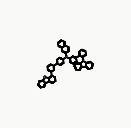 c1cc(-c2ccc(N(c3cccc(-c4ccccc4-n4c5ccccc5c5ccccc54)c3)c3ccc4ccccc4c3)cc2)cc(-c2cccc3c2oc2ccccc23)c1